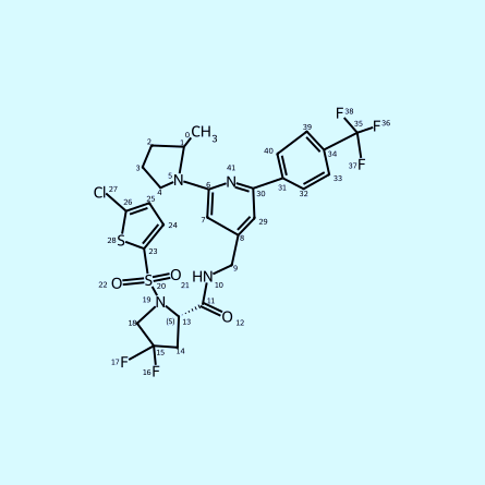 CC1CCCN1c1cc(CNC(=O)[C@@H]2CC(F)(F)CN2S(=O)(=O)c2ccc(Cl)s2)cc(-c2ccc(C(F)(F)F)cc2)n1